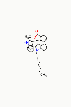 CCCCCCCCn1c(C)c(C2(c3c(C)[nH]c4ccccc34)OC(=O)c3ccccc32)c2ccccc21